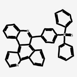 S=P(c1ccccc1)(c1ccccc1)c1ccc(-c2nc3ccccc3c3c4cccnc4c4ccccc4c23)cc1